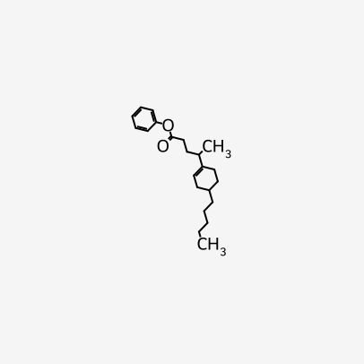 CCCCCC1CC=C(C(C)CCC(=O)Oc2ccccc2)CC1